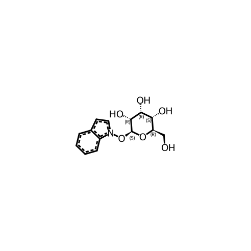 OC[C@H]1O[C@@H](On2ccc3ccccc32)[C@H](O)[C@H](O)[C@@H]1O